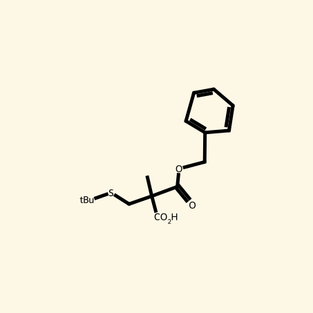 CC(C)(C)SCC(C)(C(=O)O)C(=O)OCc1ccccc1